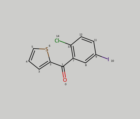 O=C(c1cccs1)c1cc(I)ccc1Cl